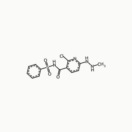 CNNc1ccc(C(=O)NS(=O)(=O)c2ccccc2)c(Cl)n1